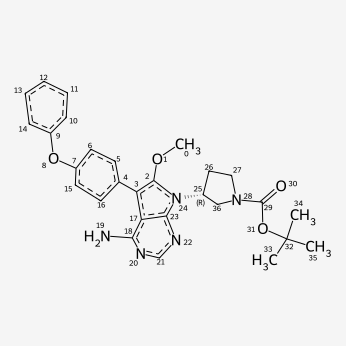 COc1c(-c2ccc(Oc3ccccc3)cc2)c2c(N)ncnc2n1[C@@H]1CCN(C(=O)OC(C)(C)C)C1